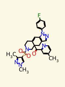 Cc1ccnc(C(=O)C23Cc4cnn(-c5ccc(F)cc5)c4C=C2CCN(S(=O)(=O)c2cn(C)nc2C)C3)c1